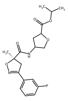 CC(C)OC(=O)C1CC(NC(=O)[C@@]2(C)CC(c3cccc(F)c3)=NO2)CO1